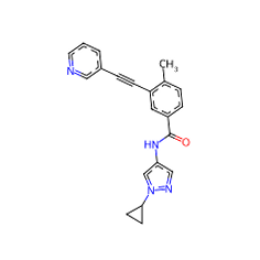 Cc1ccc(C(=O)Nc2cnn(C3CC3)c2)cc1C#Cc1cccnc1